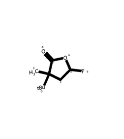 CC(C)(C)C1(C)CC(F)OC1=O